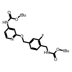 CC(C)(C)OC(=O)NCc1ccc(COc2cc(NC(=O)OC(C)(C)C)ccn2)cc1F